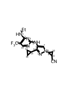 CCNc1nc(Nc2cn([C@H]3CC3C#N)nc2C2CC2)ncc1C(F)(F)F